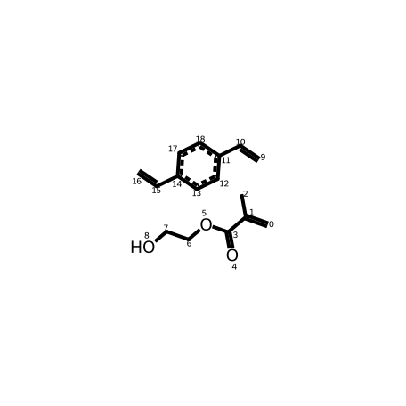 C=C(C)C(=O)OCCO.C=Cc1ccc(C=C)cc1